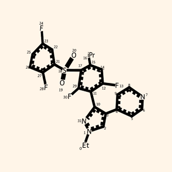 CCn1cc(-c2ccncc2)c(-c2c(F)[c]c(C(C)C)c(S(=O)(=O)c3cc(F)ccc3F)c2F)n1